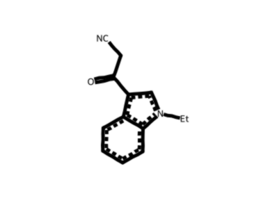 CCn1cc(C(=O)CC#N)c2ccccc21